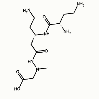 CN(CC(=O)O)NC(=O)C[C@H](CCN)NC(=O)[C@@H](N)CCN